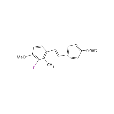 CCCCCc1ccc(C=Cc2ccc(OC)c(I)c2C)cc1